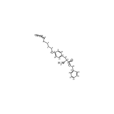 [N-]=[N+]=NCCCCOc1ccc(CC(N)C(=O)OCc2ccccc2)cc1